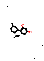 C=C(C)[C@@H]1CCC(C)=CC1c1ccc(O)cc1O